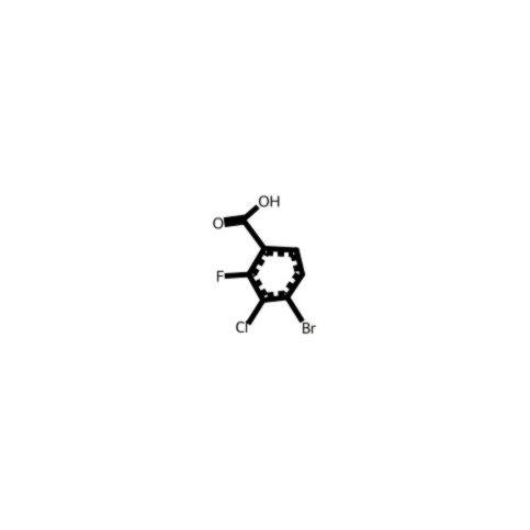 O=C(O)c1ccc(Br)c(Cl)c1F